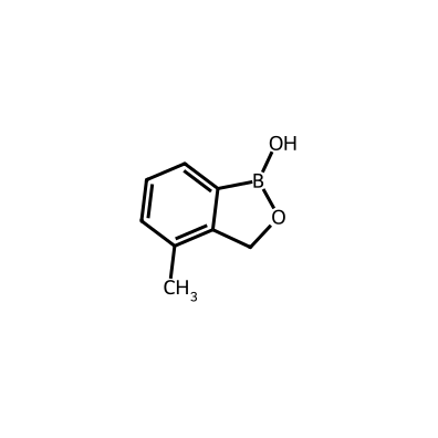 Cc1cccc2c1COB2O